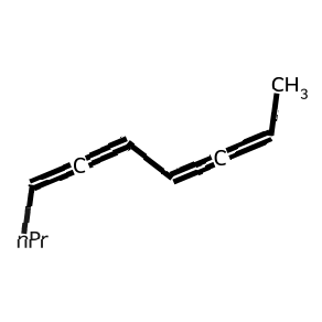 CC=C=CC=C=CCCC